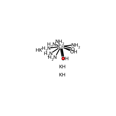 [KH].[KH].[KH].[NH2][Cr]([NH2])([NH2])([NH2])([NH2])([NH2])(=[O])(=[O])([OH])[OH]